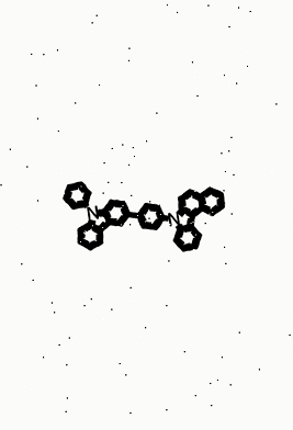 c1ccc(-n2c3ccccc3c3cc(-c4ccc(-n5c6ccccc6c6c7ccccc7ccc65)cc4)ccc32)cc1